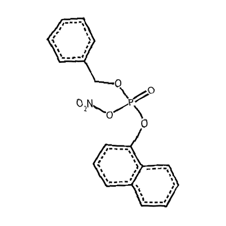 O=[N+]([O-])OP(=O)(OCc1ccccc1)Oc1cccc2ccccc12